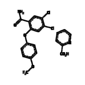 NC(=O)c1cc(Cl)c(Cl)cc1Oc1ccc(OC(F)(F)F)cc1.O=C(O)c1ccccn1